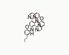 CCCc1ccc2c(c1)Nc1c(cc(C3N=CC=CN3C)c(N3c4ccccc4Oc4ccccc43)c1C1N=CC=CN1CCC)O2